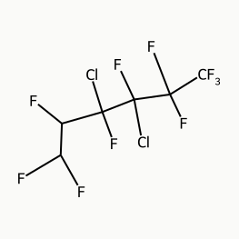 FC(F)C(F)C(F)(Cl)C(F)(Cl)C(F)(F)C(F)(F)F